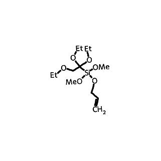 C=CCO[Si](OC)(OC)C(COCC)(OCC)OCC